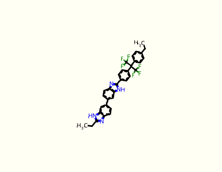 CCc1ccc(C(c2ccc(-c3nc4ccc(-c5ccc6nc(CC)[nH]c6c5)cc4[nH]3)cc2)(C(F)(F)F)C(F)(F)F)cc1